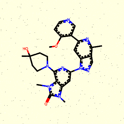 COc1ccncc1-c1cc2c(cnn2-c2cc3c(c(N4CCC(C)(O)CC4)n2)n(C)c(=O)n3C)c(C)n1